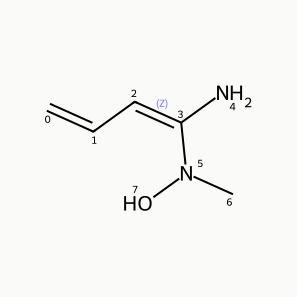 C=C/C=C(/N)N(C)O